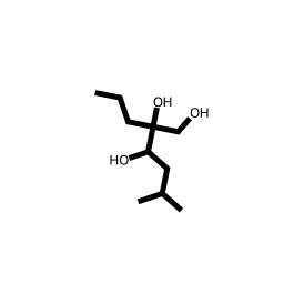 CCCC(O)(CO)C(O)CC(C)C